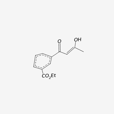 CCOC(=O)c1cccc(C(=O)C=C(C)O)c1